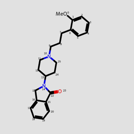 COc1ccccc1CCCN1CCC(N2Cc3ccccc3C2=O)CC1